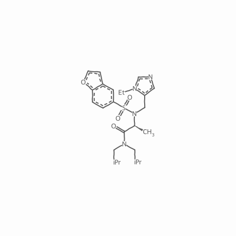 CCn1cncc1CN([C@@H](C)C(=O)N(CC(C)C)CC(C)C)S(=O)(=O)c1ccc2occc2c1